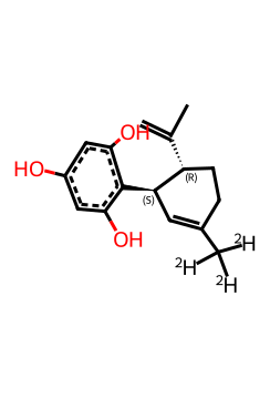 [2H]C([2H])([2H])C1=C[C@@H](c2c(O)cc(O)cc2O)[C@H](C(=C)C)CC1